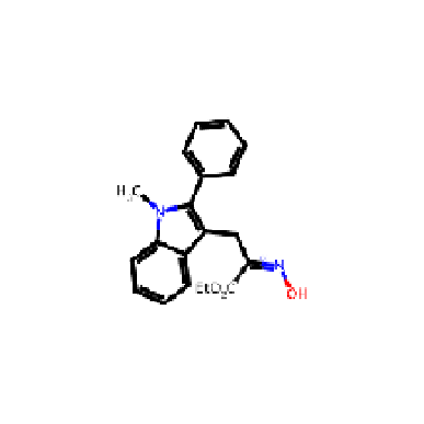 CCOC(=O)/C(Cc1c(-c2ccccc2)n(C)c2ccccc12)=N\O